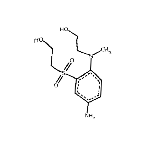 CN(CCO)c1ccc(N)cc1S(=O)(=O)CCO